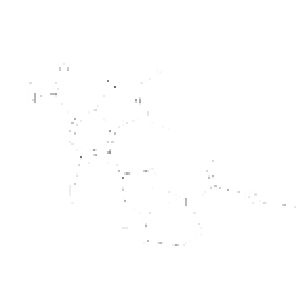 CC#CC(=O)N1CCC[C@H]2CN(c3c(F)cc(C(N)=O)c4[nH]c(C)c(C)c34)C[C@H]21